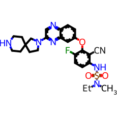 CCN(C)S(=O)(=O)Nc1ccc(F)c(Oc2ccc3ncc(N4CCC5(CCNCC5)C4)nc3c2)c1C#N